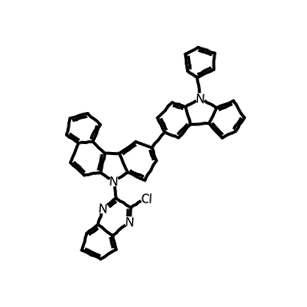 Clc1nc2ccccc2nc1-n1c2ccc(-c3ccc4c(c3)c3ccccc3n4-c3ccccc3)cc2c2c3ccccc3ccc21